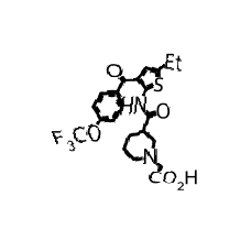 CCc1cc(C(=O)c2ccc(OC(F)(F)F)cc2)c(NC(=O)C2CCCN(CC(=O)O)C2)s1